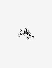 c1ccc(-c2cc(-c3ccccc3)cc(-c3cccc(-c4nc(-c5ccccc5)nc(-c5cccc(-c6cc(-c7ccccc7)cc(-c7ccccc7)c6)c5)n4)c3)c2)cc1